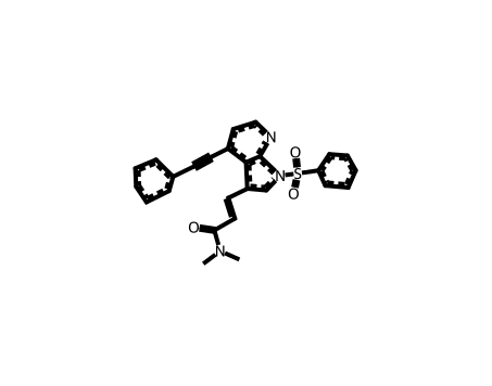 CN(C)C(=O)C=Cc1cn(S(=O)(=O)c2ccccc2)c2nccc(C#Cc3ccccc3)c12